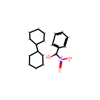 C1CCC(C2CCCCC2)CC1.O=[PH](O)C(O)c1ccccc1